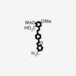 COc1cc(/C=C/c2ccc(-c3cc4cc(C)ccc4o3)cc2)c(C(=O)O)c(OC)c1